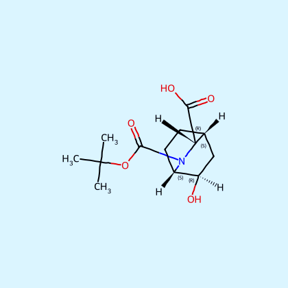 CC(C)(C)OC(=O)N1[C@H](C(=O)O)[C@@H]2CC[C@H]1[C@H](O)C2